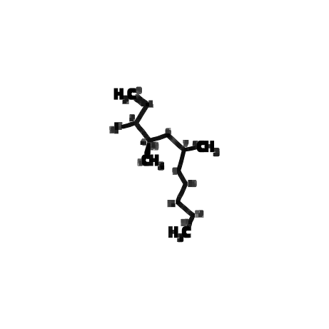 C=CC(F)[C@H](C)CC(C)CCCCC